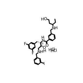 CCC(CCO)NCc1cccc(C(=O)N[C@@H](Cc2cc(F)cc(F)c2)[C@H](O)CNCc2cccc(I)c2)c1.Cl.Cl